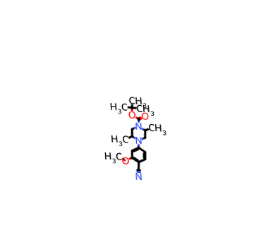 COc1cc(N2CC(C)N(C(=O)OC(C)(C)C)CC2C)ccc1C#N